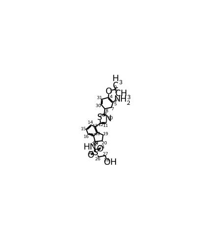 CC(C)OC1=C(N)CC(c2ncc(-c3cccc4c3CC[C@@H]4NS(=O)(=O)CCO)s2)C=C1